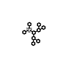 c1ccc(-c2nc(-c3ccccc3)nc(-c3cc(-c4ccc(-c5ccccc5)c(-c5ccccc5)c4)cc(-c4ccc(-c5ccccc5)c(-c5ccccc5)c4)c3)n2)cc1